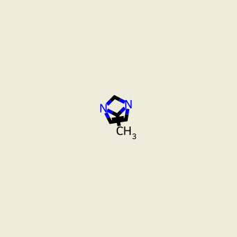 CC1N2C=CN1C2